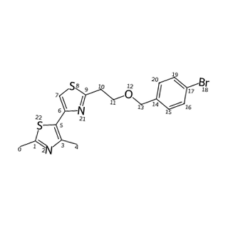 Cc1nc(C)c(-c2csc(CCOCc3ccc(Br)cc3)n2)s1